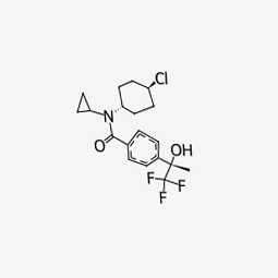 C[C@](O)(c1ccc(C(=O)N(C2CC2)[C@H]2CC[C@H](Cl)CC2)cc1)C(F)(F)F